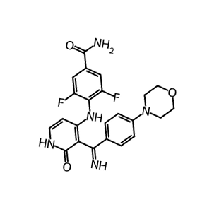 N=C(c1ccc(N2CCOCC2)cc1)c1c(Nc2c(F)cc(C(N)=O)cc2F)cc[nH]c1=O